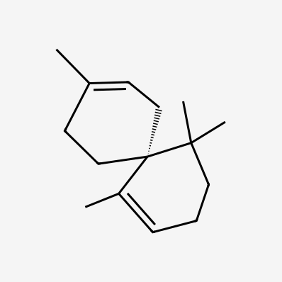 CC1=CC[C@@]2(CC1)C(C)=CCCC2(C)C